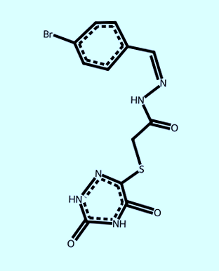 O=C(CSc1n[nH]c(=O)[nH]c1=O)N/N=C\c1ccc(Br)cc1